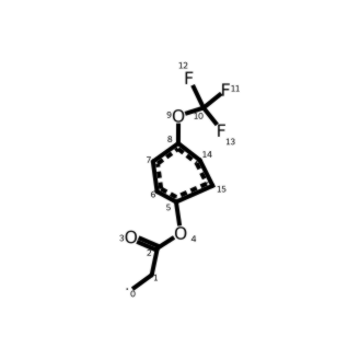 [CH2]CC(=O)Oc1ccc(OC(F)(F)F)cc1